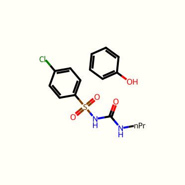 CCCNC(=O)NS(=O)(=O)c1ccc(Cl)cc1.Oc1ccccc1